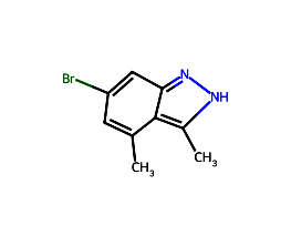 Cc1cc(Br)cc2n[nH]c(C)c12